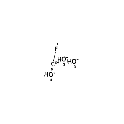 [C+3]F.[OH-].[OH-].[OH-]